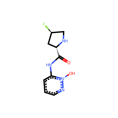 O=C(Nc1cccn[n+]1O)[C@@H]1C[C@@H](F)CN1